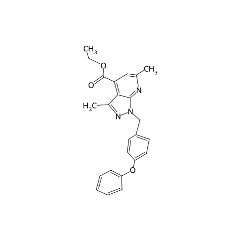 CCOC(=O)c1cc(C)nc2c1c(C)nn2Cc1ccc(Oc2ccccc2)cc1